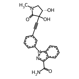 CN1C[C@H](O)C(O)(C#Cc2cccc(-n3nc(C(N)=O)c4ccccc43)c2)C1=O